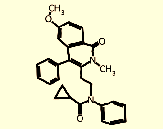 COc1ccc2c(=O)n(C)c(CCN(C(=O)C3CC3)c3ccccc3)c(-c3ccccc3)c2c1